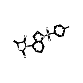 C=C1SC(=O)N(c2cccc3c2ccn3S(=O)(=O)c2ccc(C)cc2)C1=O